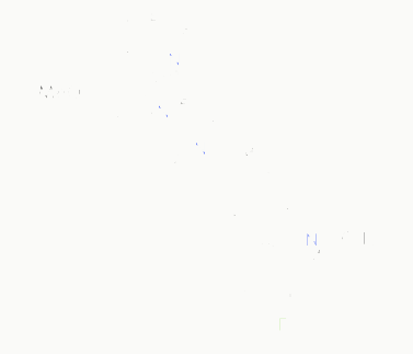 COc1cc(N2CCN([C@H]3CC[C@@H](c4cn(C)c5cc(F)ccc54)CC3)CC2)c2ncccc2c1